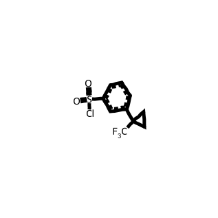 O=S(=O)(Cl)c1cccc(C2(C(F)(F)F)CC2)c1